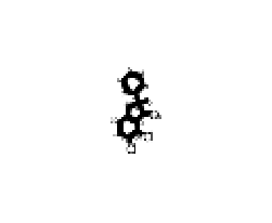 CC1(c2ccccc2)Cc2c[c]c(Cl)c(Cl)c2C1=O